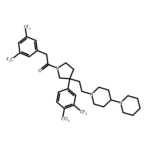 O=C(Cc1cc(C(F)(F)F)cc(C(F)(F)F)c1)N1CCC(CCN2CCC(N3CCCCC3)CC2)(c2ccc(C(Cl)(Cl)Cl)c(C(F)(F)F)c2)C1